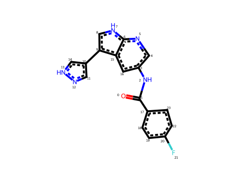 O=C(Nc1cnc2[nH]cc(-c3cn[nH]c3)c2c1)c1ccc(F)cc1